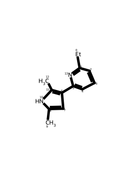 CCc1cccc(-c2cc(C)[nH]c2C)n1